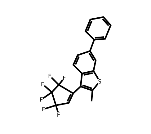 Cc1sc2cc(-c3ccccc3)ccc2c1C1=CC(F)(F)C(F)(F)C1(F)F